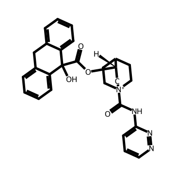 O=C(O[C@H]1C[N+]2(C(=O)Nc3cccnn3)CCC1CC2)C1(O)c2ccccc2Cc2ccccc21